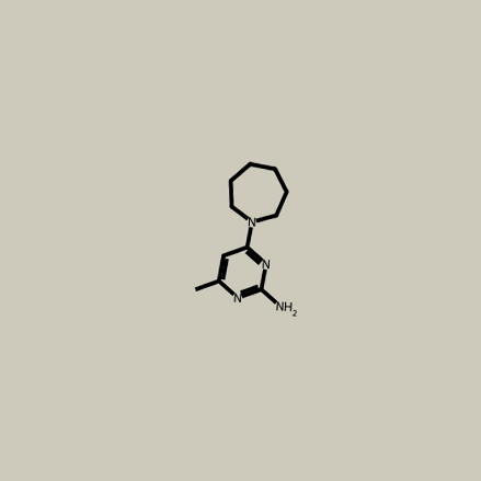 Cc1cc(N2CCCCCC2)nc(N)n1